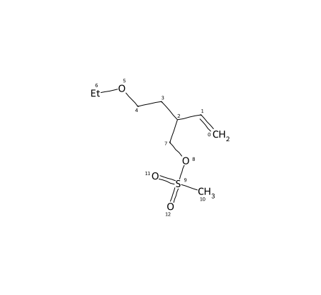 C=CC(CCOCC)COS(C)(=O)=O